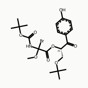 COC(Br)(NC(=O)OC(C)(C)C)C(=O)O[C@@H](COC(C)(C)C)C(=O)c1ccc(O)cc1